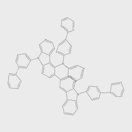 c1ccc(-c2ccc(N(c3ccccc3)c3c(-c4ccc5c(c4)c4ccccc4n5-c4ccc(-c5ccccc5)cc4)ccc4c3c3ccccc3n4-c3cccc(-c4ccccc4)c3)cc2)cc1